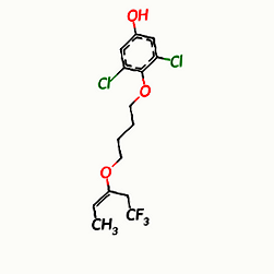 CC=C(CC(F)(F)F)OCCCCOc1c(Cl)cc(O)cc1Cl